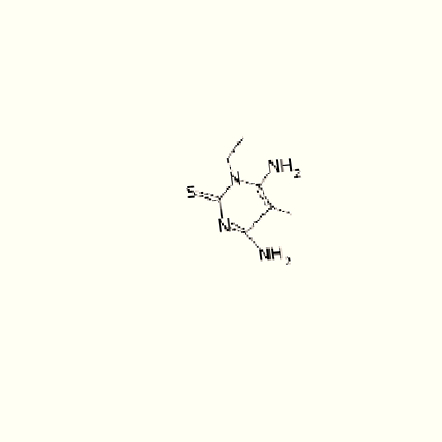 CCn1c(N)c(C)c(N)nc1=S